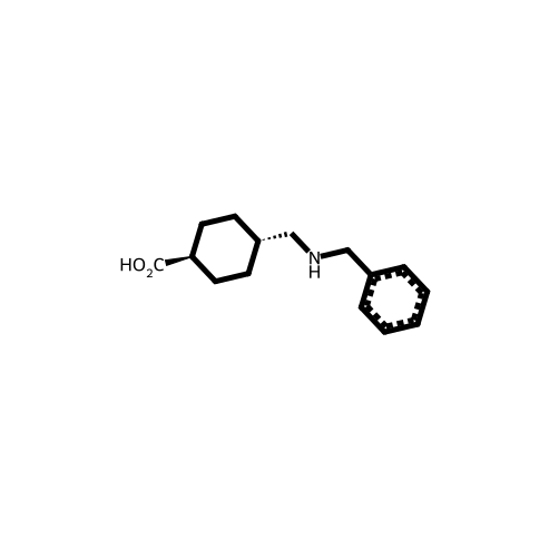 O=C(O)[C@H]1CC[C@H](CNCc2ccccc2)CC1